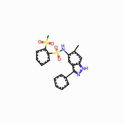 Cc1cc2[nH]nc(-c3ccccc3)c2cc1NS(=O)(=O)c1ccccc1S(C)(=O)=O